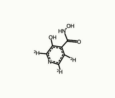 [2H]c1nc([2H])c(O)c(C(=O)NO)c1[2H]